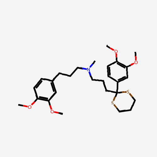 COc1ccc(CCCN(C)CCCC2(c3ccc(OC)c(OC)c3)SCCCS2)cc1OC